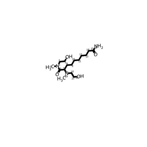 CN(CCO)C(=O)C(CCCCCCCC(N)=O)N(C)CCO